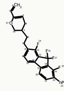 C=CC1=CCC(CCc2ccc3c(c2F)C(F)(F)c2c-3ccc(CCC)c2F)CO1